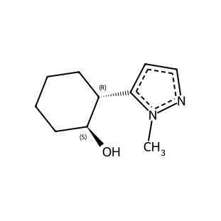 Cn1nccc1[C@H]1CCCC[C@@H]1O